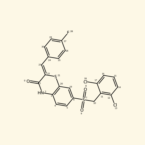 O=C1Nc2ccc(S(=O)(=O)Cc3c(Cl)cccc3Cl)cc2SC1=Cc1ccc(F)cc1